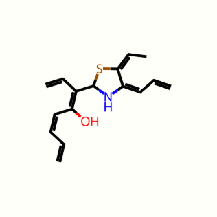 C=C/C=C\C(O)=C(/C=C)C1NC(=C/C=C)/C(=C\C)S1